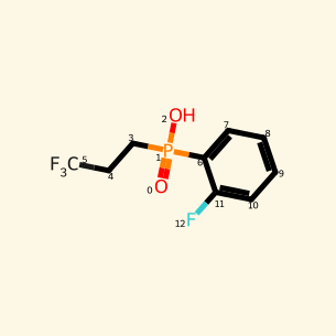 O=P(O)(CCC(F)(F)F)c1ccccc1F